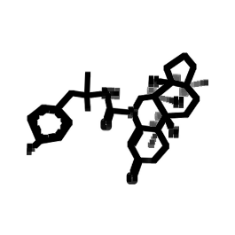 CC(C)(Cc1ccc(F)cc1)NC(=O)N1C[C@H]2[C@@H]3CCC[C@@]3(C)CC[C@@H]2[C@@]2(C)CCC(=O)C=C12